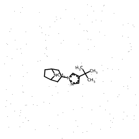 CN1C2CCC1CC(n1cc(C(C)(C)C)cn1)C2